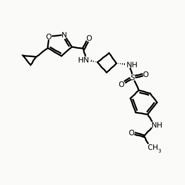 CC(=O)Nc1ccc(S(=O)(=O)N[C@H]2C[C@@H](NC(=O)c3cc(C4CC4)on3)C2)cc1